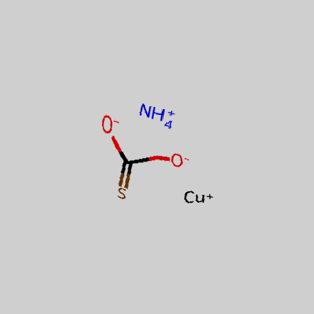 [Cu+].[NH4+].[O-]C([O-])=S